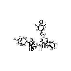 Cc1cc(OCCCc2c(C(=O)NCCS(=O)(=O)NC(=O)C3CC4CC(C)CC(C4)C3)[nH]c3ccccc23)cc(C)c1Cl